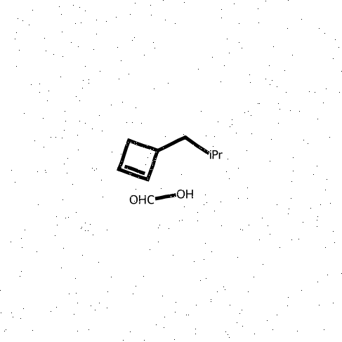 CC(C)CC1C=CC1.O=CO